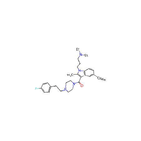 CCN(CC)CCCn1c(C)c(C(=O)N2CCN(CCc3ccc(F)cc3)CC2)c2cc(OC)ccc21